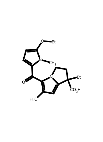 CCOc1ccc(C(=O)c2c(C)cc3n2CCC3(CC)C(=O)O)n1C